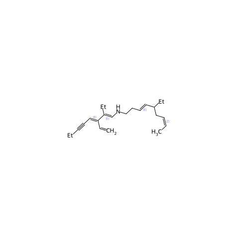 C=CC(=C\C#CCC)/C(=C/NCC/C=C/C(CC)C/C=C\C)CC